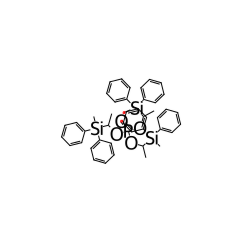 CC(OP(=O)(OC(C)[Si](C)(c1ccccc1)c1ccccc1)OC(C)[Si](C)(c1ccccc1)c1ccccc1)[Si](C)(c1ccccc1)c1ccccc1